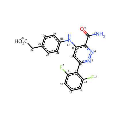 NC(=O)c1nnc(-c2c(F)cccc2F)cc1Nc1ccc(CC(=O)O)cc1